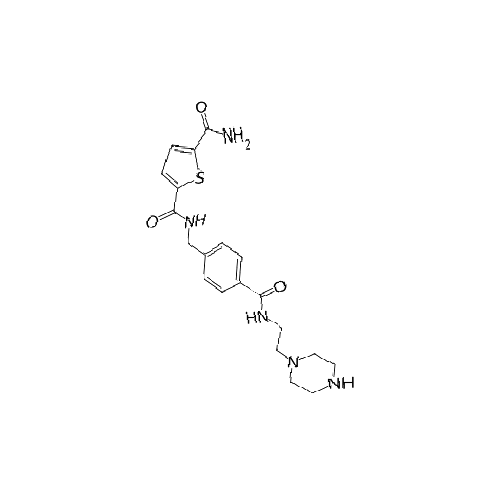 NC(=O)c1ccc(C(=O)NCc2ccc(C(=O)NCCN3CCNCC3)cc2)s1